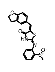 C[S+]([O-])c1ccccc1N=C1NC(=O)C(=Cc2ccc3c(c2)CCO3)S1